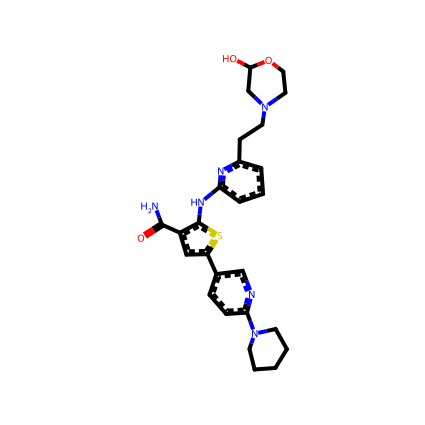 NC(=O)c1cc(-c2ccc(N3CCCCC3)nc2)sc1Nc1cccc(CCN2CCOC(O)C2)n1